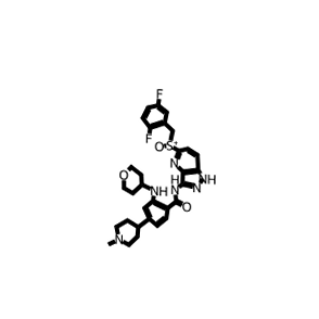 CN1CCC(c2ccc(C(=O)Nc3n[nH]c4ccc([S+]([O-])Cc5cc(F)ccc5F)nc34)c(NC3CCOCC3)c2)CC1